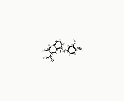 O=[N+]([O-])c1cc2c(Nc3ccc(Br)c(Cl)c3)ncnc2cc1F